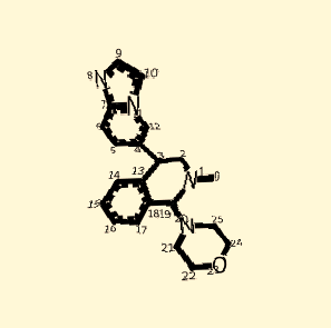 CN1CC(c2ccc3nccn3c2)c2ccccc2C1N1CCOCC1